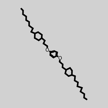 CCCCCCCCCC1CCC(CCCOc2ccc(OCCCC3CCC(CCCCCCCCC)CC3)cc2)CC1